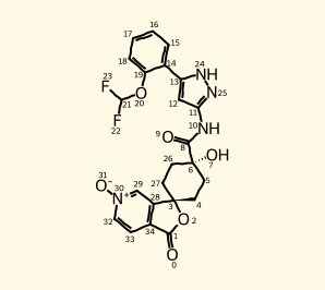 O=C1O[C@]2(CC[C@](O)(C(=O)Nc3cc(-c4ccccc4OC(F)F)[nH]n3)CC2)c2c[n+]([O-])ccc21